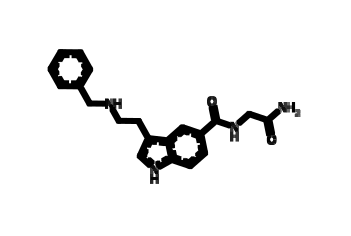 NC(=O)CNC(=O)c1ccc2[nH]cc(CCNCc3ccccc3)c2c1